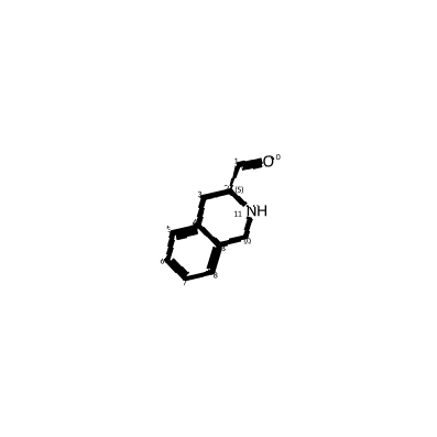 O=C[C@@H]1Cc2ccccc2CN1